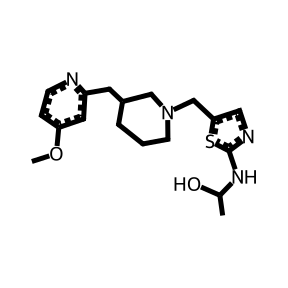 COc1ccnc(CC2CCCN(Cc3cnc(NC(C)O)s3)C2)c1